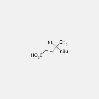 CCCCC(C)(CC)CCC(=O)O